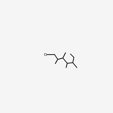 CCC(C)C(C)C(C)C(C)CCl